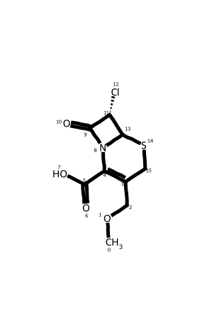 COCC1=C(C(=O)O)N2C(=O)[C@H](Cl)C2SC1